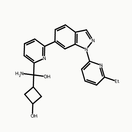 CCc1cccc(-n2ncc3ccc(-c4cccc(C(N)(O)C5CC(O)C5)n4)cc32)n1